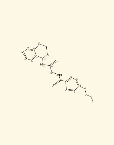 CCCCc1ccc(C(=O)NCC(=O)NC2CCCc3ccccc32)cc1